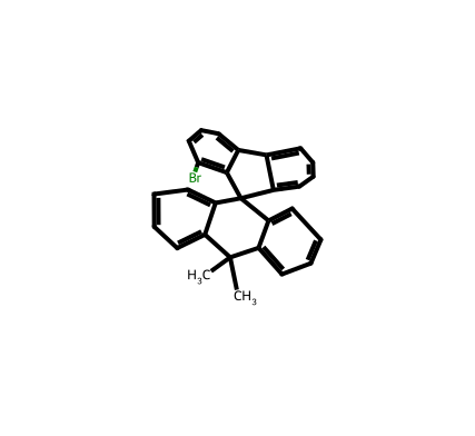 CC1(C)c2ccccc2C2(c3ccccc3-c3cccc(Br)c32)c2ccccc21